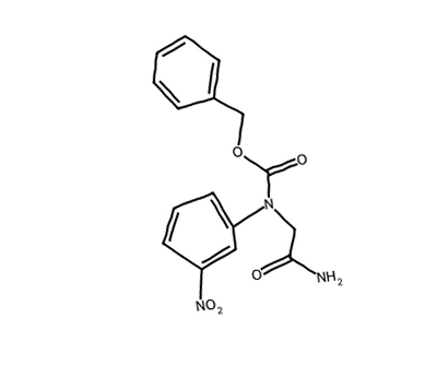 NC(=O)CN(C(=O)OCc1ccccc1)c1cccc([N+](=O)[O-])c1